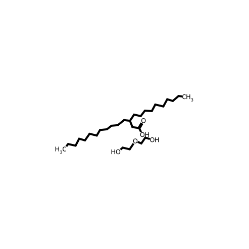 CCCCCCCCCCCCC(CCCCCCCCCC)CC(=O)O.OCCOCCO